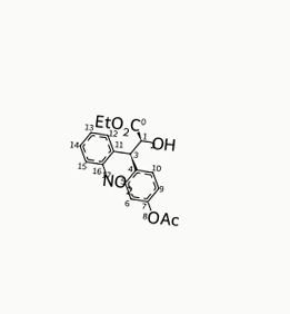 CCOC(=O)[C@@H](O)[C@@H](c1ccc(OC(C)=O)cc1)c1ccccc1[N+](=O)[O-]